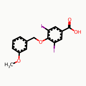 COc1cccc(COc2c(I)cc(C(=O)O)cc2I)c1